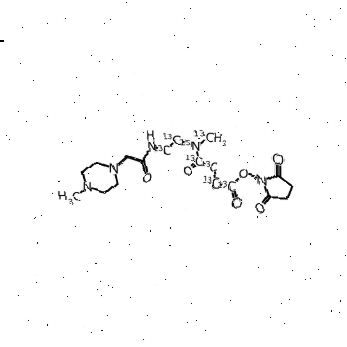 CN1CCN(CC(=O)N[13CH2][13CH2][15N]([13CH3])[13C](=O)[13CH2][13CH2][13C](=O)ON2C(=O)CCC2=O)CC1